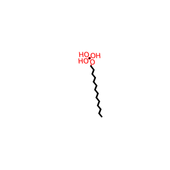 CCCCCCCCCCCCCCOC(O)(O)O